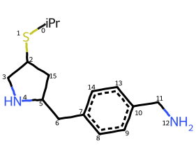 CC(C)SC1CNC(Cc2ccc(CN)cc2)C1